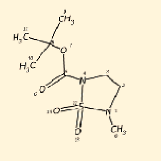 CN1CCN(C(=O)OC(C)(C)C)S1(=O)=O